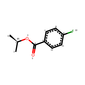 [CH2][C@H](C)OC(=O)c1ccc(F)cc1